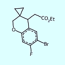 CCOC(=O)CC1c2cc(Br)c(F)cc2OCC12CC2